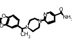 CC(c1ccc2c(c1)OCO2)N1CCN(c2ccc(C(N)=O)cn2)CC1